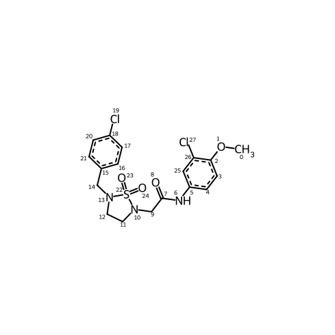 COc1ccc(NC(=O)CN2CCN(Cc3ccc(Cl)cc3)S2(=O)=O)cc1Cl